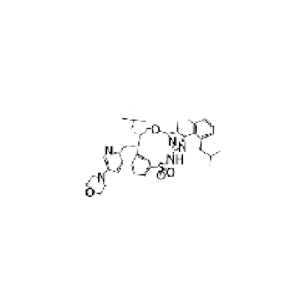 Cc1cccc(CC(C)C)c1-c1nc2nc(c1C)OC[C@@H](CC(C)(C)C)C(Cc1ccc(N3CCOCC3)cn1)c1cccc(c1)S(=O)(=O)N2